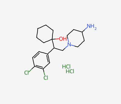 Cl.Cl.NC1CCN(CC(c2ccc(Cl)c(Cl)c2)C2(O)CCCCC2)CC1